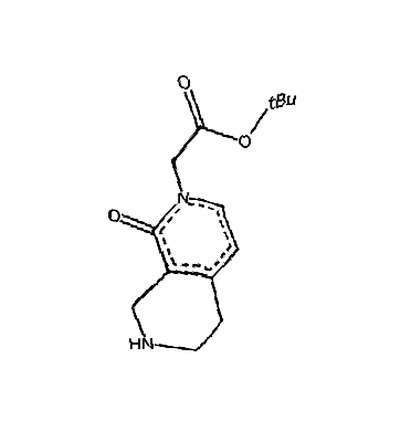 CC(C)(C)OC(=O)Cn1ccc2c(c1=O)CNCC2